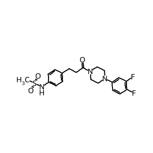 CS(=O)(=O)Nc1ccc(CCC(=O)N2CCN(c3ccc(F)c(F)c3)CC2)cc1